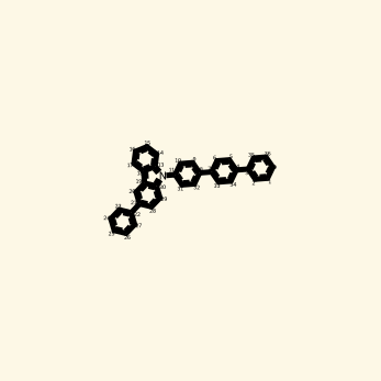 c1ccc(-c2ccc(-c3ccc(-n4c5ccccc5c5cc(-c6ccccc6)ccc54)cc3)cc2)cc1